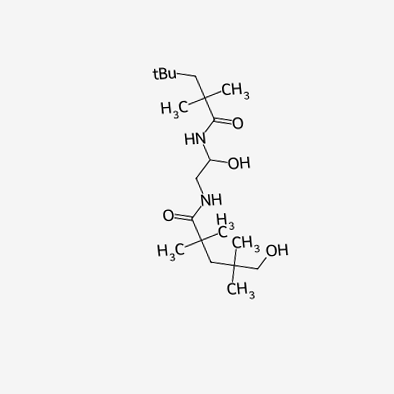 CC(C)(C)CC(C)(C)C(=O)NC(O)CNC(=O)C(C)(C)CC(C)(C)CO